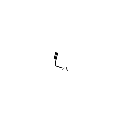 C#CC[SiH2]